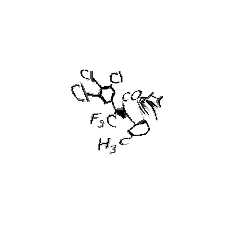 CC(C)[C@@H]1CC[C@@H](C)C[C@H]1/C(C(=O)O)=C(/c1cc(Cl)c(Cl)c(Cl)c1)C(F)(F)F